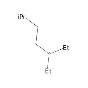 CC[C](CC)CCC(C)C